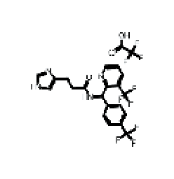 O=C(CCc1c[nH]cn1)NC(c1ccc(C(F)(F)F)cc1)c1ncccc1C(F)(F)F.O=C(O)C(F)(F)F